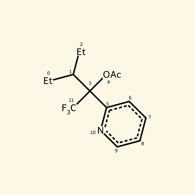 CCC(CC)C(OC(C)=O)(c1ccccn1)C(F)(F)F